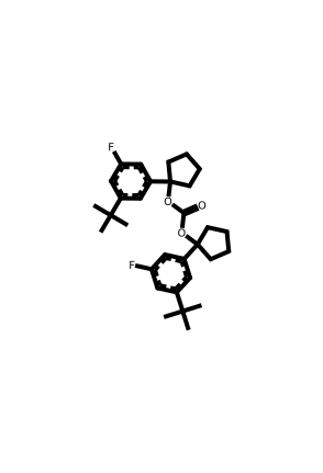 CC(C)(C)c1cc(F)cc(C2(OC(=O)OC3(c4cc(F)cc(C(C)(C)C)c4)CCCC3)CCCC2)c1